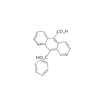 O=C(O)c1c2ccccc2c(C(=O)O)c2ccccc12.c1ccccc1